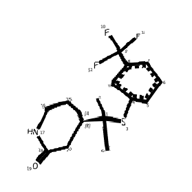 CC(C)(Sc1cccc(C(F)(F)F)c1)[C@@H]1CCNC(=O)C1